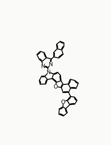 c1ccc2cc(-c3nc(-n4c5ccccc5c5c6oc7cc(-c8cccc9c8oc8ccccc89)c8ccccc8c7c6ccc54)nc4ccccc34)ccc2c1